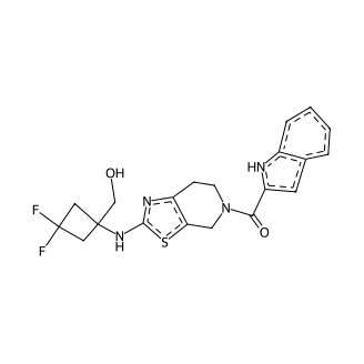 O=C(c1cc2ccccc2[nH]1)N1CCc2nc(NC3(CO)CC(F)(F)C3)sc2C1